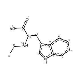 O=C(O)[C@@H](Cc1c[nH]c2ccccc12)NCI